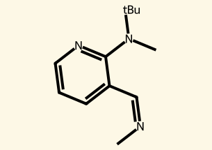 C/N=C\c1cccnc1N(C)C(C)(C)C